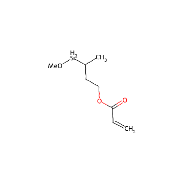 C=CC(=O)OCCC(C)[SiH2]OC